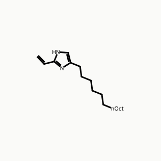 C=Cc1nc(CCCCCCCCCCCCCC)c[nH]1